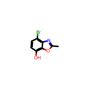 Cc1nc2c(Br)ccc(O)c2o1